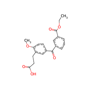 CCOC(=O)c1cccc(C(=O)c2ccc(OC)c(CCC(=O)O)c2)c1